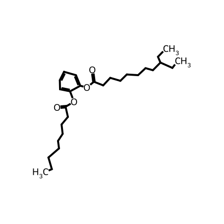 CCCCCCCCC(=O)Oc1ccccc1OC(=O)CCCCCCCC(CC)CC